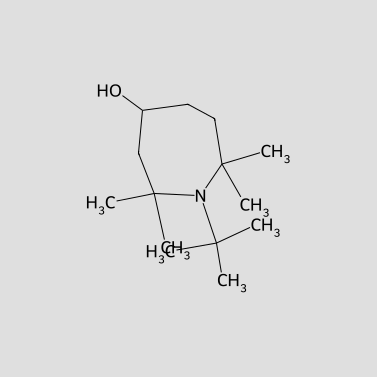 CC(C)(C)N1C(C)(C)CCC(O)CC1(C)C